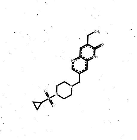 CCc1cc2ncc(CN3CCN(S(=O)(=O)C4CC4)CC3)cc2[nH]c1=O